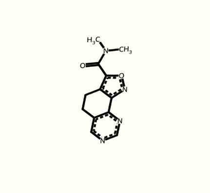 CN(C)C(=O)c1onc2c1CCc1cncnc1-2